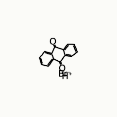 O=C1c2ccccc2C(=O)c2ccccc21.[Br-].[H+]